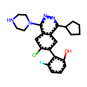 Oc1cccc(F)c1-c1cc2c(C3CCCC3)nnc(N3CCNCC3)c2cc1Cl